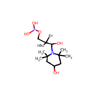 CCCCC(CC)(COP(O)O)C(O)N1C(C)(C)CC(O)CC1(C)C